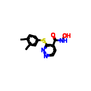 Cc1ccc(Sc2nnccc2C(=O)NO)cc1C